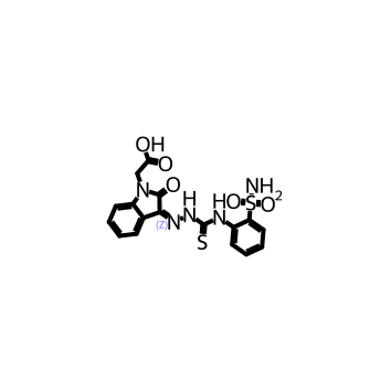 NS(=O)(=O)c1ccccc1NC(=S)N/N=C1\C(=O)N(CC(=O)O)c2ccccc21